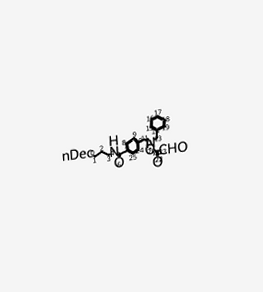 CCCCCCCCCCCCCNC(=O)c1ccc(CN(Cc2ccccc2)OC(=O)C=O)cc1